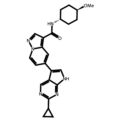 CO[C@H]1CC[C@H](NC(=O)c2cnn3ccc(-c4c[nH]c5nc(C6CC6)ncc45)cc23)CC1